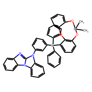 C[Si]1(C)Oc2ccccc2Oc2c(cccc2[Si](c2ccccc2)(c2ccccc2)c2cccc(-n3c4ccccc4n4c5ccccc5nc34)c2)O1